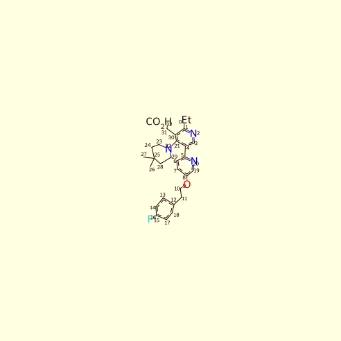 CCc1ncc(-c2ccc(OCCc3ccc(F)cc3)cn2)c(N2CCC(C)(C)CC2)c1CC(=O)O